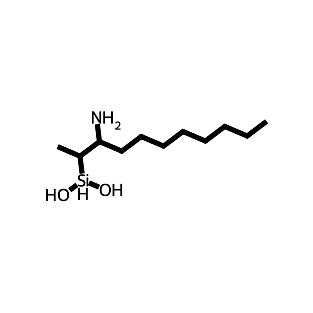 CCCCCCCCC(N)C(C)[SiH](O)O